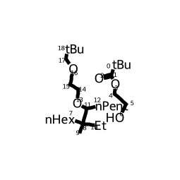 CC(C)(C)C(=O)OCCO.CCCCCCC(C)(CC)C(CCCCC)OCCOCC(C)(C)C